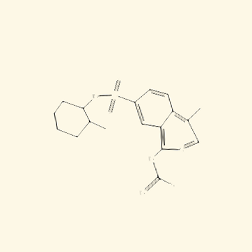 N=C(N)Nc1ncc(Cl)c2ccc(S(=O)(=O)NC3CCCCC3C(=O)O)cc12